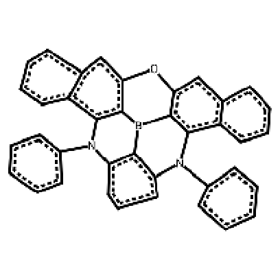 c1ccc(N2c3cccc4c3B3c5c(cc6ccccc6c52)Oc2cc5ccccc5c(c23)N4c2ccccc2)cc1